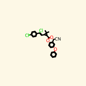 CC1(C)C(C=C(Cl)c2ccc(Cl)cc2)C1C(=O)OC(C#N)c1cccc(Oc2ccccc2)c1